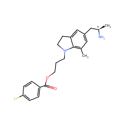 Cc1cc(C[C@@H](C)N)cc2c1N(CCCOC(=O)c1ccc(F)cc1)CC2